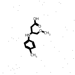 COCC(CC(=O)O)Nc1ccc(C)cc1